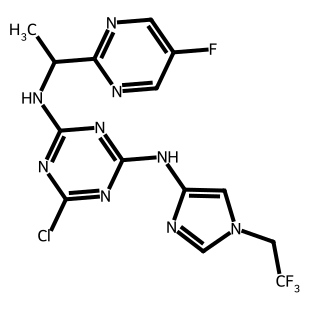 CC(Nc1nc(Cl)nc(Nc2cn(CC(F)(F)F)cn2)n1)c1ncc(F)cn1